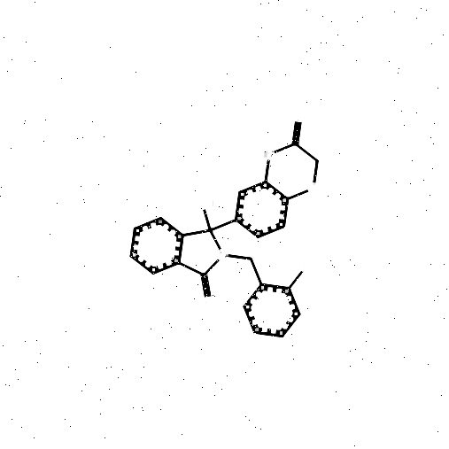 O=C1COc2ccc(C3(O)c4ccccc4C(=O)N3Cc3ccccc3F)cc2N1